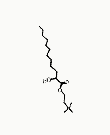 CCCCCCCCCCC(O)C(=O)OCC[N+](C)(C)C